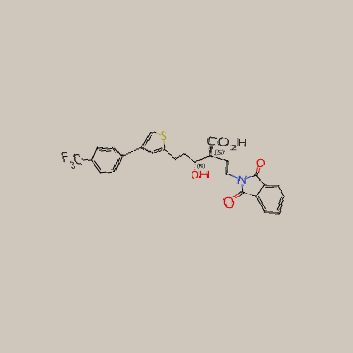 O=C(O)[C@@H](CCN1C(=O)c2ccccc2C1=O)[C@H](O)CCc1cc(-c2ccc(C(F)(F)F)cc2)cs1